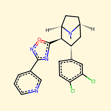 CN1[C@H]2CC[C@@H]1[C@H](c1nc(-c3cccnc3)no1)[C@@H](c1ccc(Cl)c(Cl)c1)C2